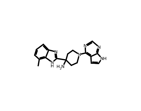 Cc1cccc2nc(C3(N)CCN(c4ncnc5[nH]ccc45)CC3)[nH]c12